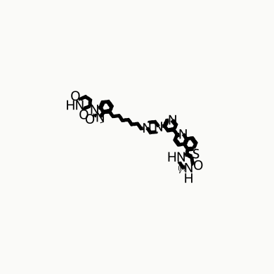 C[C@@H]1CNc2c(sc3ccc4nc(-c5cncc(N6CCN(CCCCCCCc7cccc8c7n(C)c(=O)n8C7CCC(=O)NC7=O)CC6)c5)ccc4c23)C(=O)N1